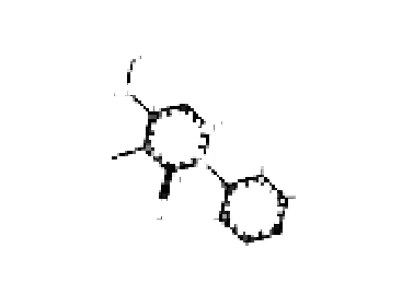 CSc1cnn(-c2ccccc2)c(=O)c1C